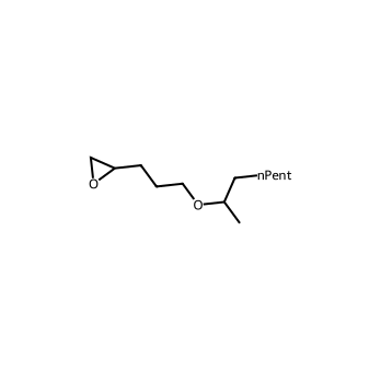 [CH2]CCCCCC(C)OCCCC1CO1